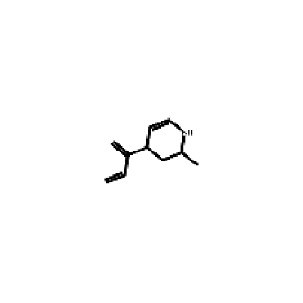 C=CC(=C)C1C=CNC(C)C1